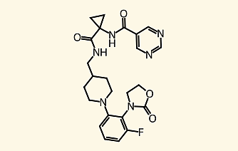 O=C(NC1(C(=O)NCC2CCN(c3cccc(F)c3N3CCOC3=O)CC2)CC1)c1cncnc1